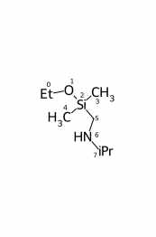 CCO[Si](C)(C)CNC(C)C